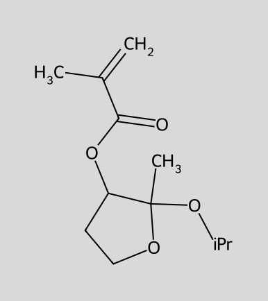 C=C(C)C(=O)OC1CCOC1(C)OC(C)C